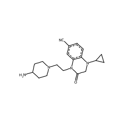 N#Cc1ccc2c(c1)N(CCN1CCC(N)CC1)C(=O)CN2C1CC1